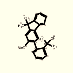 COc1cc2c(cc1-c1ccccc1C(C)(C)O)-c1ccccc1C2(C)C